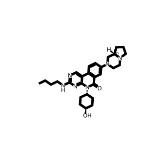 CCCCNc1ncc2c3ccc(N4CCN5CCC[C@H]5C4)cc3c(=O)n([C@H]3CC[C@H](O)CC3)c2n1